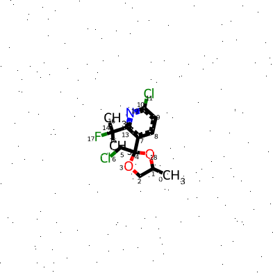 CC1COC(CCl)(c2ccc(Cl)nc2C(C)(C)F)O1